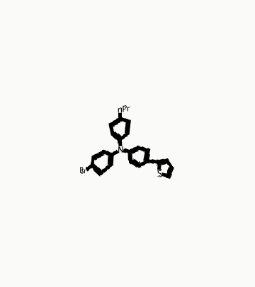 CCCc1ccc(N(c2ccc(Br)cc2)c2ccc(-c3cccs3)cc2)cc1